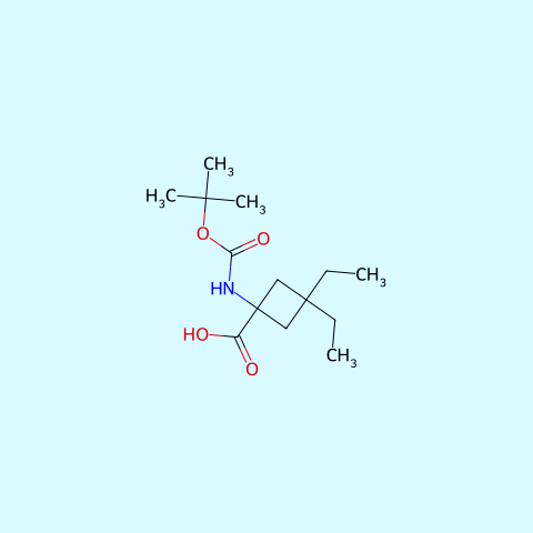 CCC1(CC)CC(NC(=O)OC(C)(C)C)(C(=O)O)C1